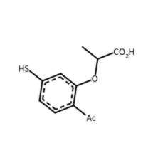 CC(=O)c1ccc(S)cc1OC(C)C(=O)O